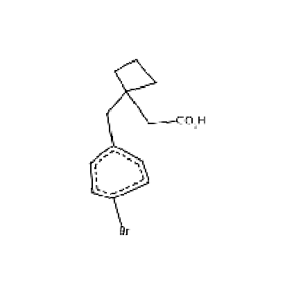 O=C(O)CC1(Cc2ccc(Br)cc2)CCC1